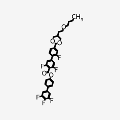 CCCCOCCC1COC(c2ccc(-c3cc(F)c(C(=O)Oc4ccc(-c5cc(F)c(F)c(F)c5)cc4)c(F)c3)c(F)c2)OC1